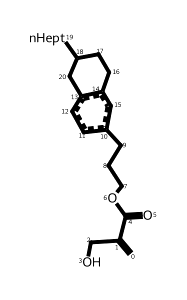 C=C(CO)C(=O)OCCCc1ccc2c(c1)CCC(CCCCCCC)C2